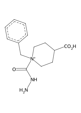 NNC(=O)[N+]1(Cc2ccccc2)CCC(C(=O)O)CC1